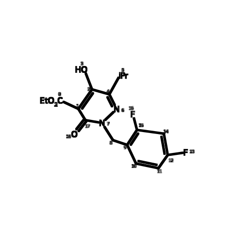 CCOC(=O)c1c(O)c(C(C)C)nn(Cc2ccc(F)cc2F)c1=O